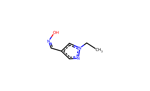 CCn1cc(/C=N\O)cn1